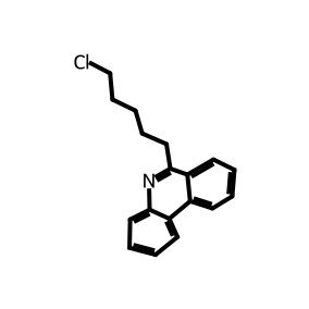 ClCCCCCc1nc2ccccc2c2ccccc12